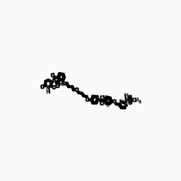 CC(C)(c1ccc(OCCCCOCCCCNc2cccc3c2C(=O)N(C2CCC(=O)NC2=O)C3=O)cc1)c1ccc(OCc2ccnc(NS(C)(=O)=O)n2)cc1